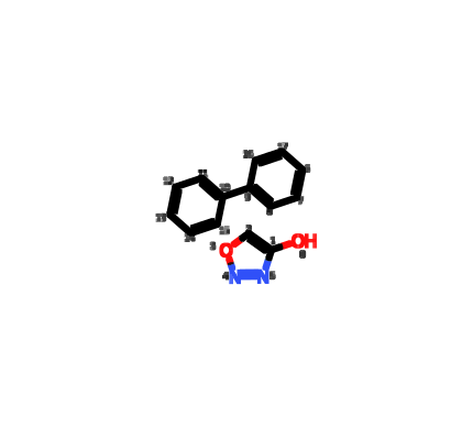 Oc1conn1.c1ccc(-c2ccccc2)cc1